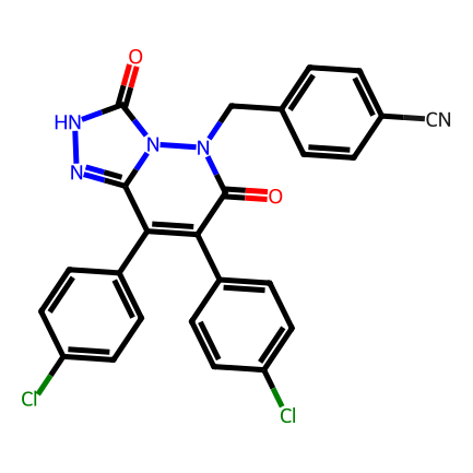 N#Cc1ccc(Cn2c(=O)c(-c3ccc(Cl)cc3)c(-c3ccc(Cl)cc3)c3n[nH]c(=O)n32)cc1